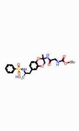 CC(C)(C)OC(=O)NCC(=O)NC1(C)COc2cc(C[C@H](NS(=O)(=O)c3ccccc3)C(=O)O)ccc2O1